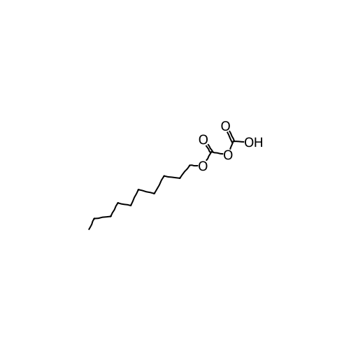 CCCCCCCCCCOC(=O)OC(=O)O